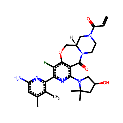 C=CC(=O)N1CCN2C(=O)c3c(N4CC(O)CC4(C)C)nc(-c4nc(N)cc(C)c4C(F)(F)F)c(F)c3OC[C@H]2C1